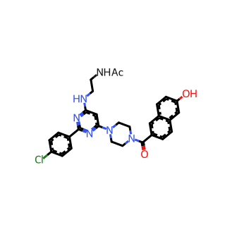 CC(=O)NCCNc1cc(N2CCN(C(=O)c3ccc4cc(O)ccc4c3)CC2)nc(-c2ccc(Cl)cc2)n1